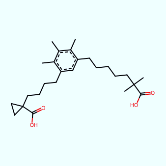 Cc1c(CCCCCC(C)(C)C(=O)O)cc(CCCCC2(C(=O)O)CC2)c(C)c1C